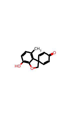 Cc1ccc(O)c2c1C1(C=CC(=O)C=C1)CO2